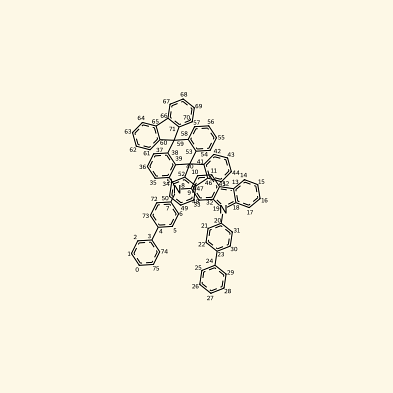 c1ccc(-c2ccc(N(c3ccc4c5ccccc5n(-c5ccc(-c6ccccc6)cc5)c4c3)c3cccc4c3C3(c5ccccc5-c5ccccc53)c3ccccc3C43c4ccccc4-c4ccccc43)cc2)cc1